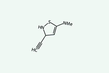 C#CC1C=C(NC)SN1